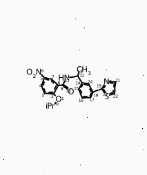 CC(C)Oc1ccc([N+](=O)[O-])cc1C(=O)NC(C)c1cccc(-c2nccs2)c1